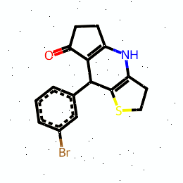 O=C1CCC2=C1C(c1cccc(Br)c1)C1=C(CCS1)N2